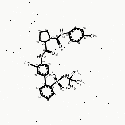 CC(C)(C)NS(=O)(=O)c1ccccc1-c1ccc(NC(=O)C2CCCN2C(=O)Nc2ccc(Cl)cc2)c(F)c1